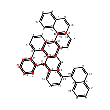 c1ccc(-c2ccccc2-c2c(-c3ccccc3)cccc2-c2ccccc2N(c2ccc(-c3cccc4ccccc34)cc2)c2cccc(-c3cccc4ccccc34)c2)cc1